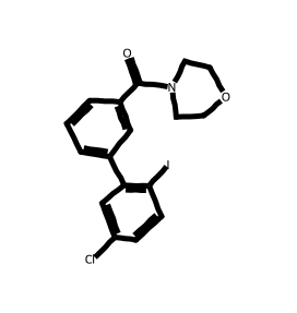 O=C(c1cccc(-c2cc(Cl)ccc2I)c1)N1CCOCC1